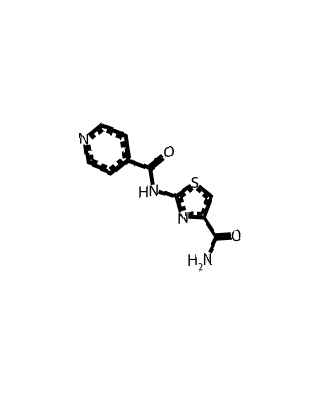 NC(=O)c1csc(NC(=O)c2ccncc2)n1